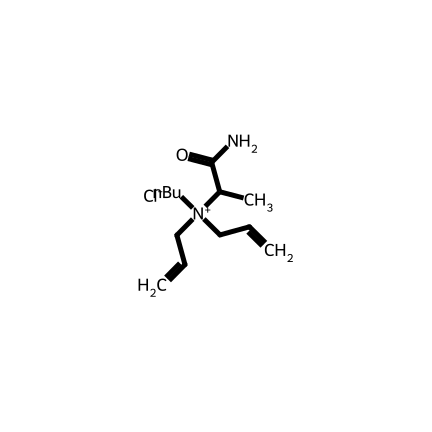 C=CC[N+](CC=C)(CCCC)C(C)C(N)=O.[Cl-]